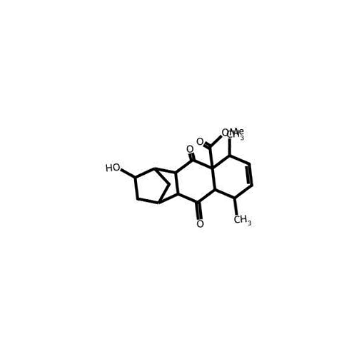 COC(=O)C12C(=O)C3C4CC(CC4O)C3C(=O)C1C(C)C=CC2C